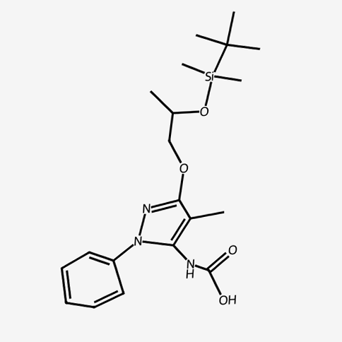 Cc1c(OCC(C)O[Si](C)(C)C(C)(C)C)nn(-c2ccccc2)c1NC(=O)O